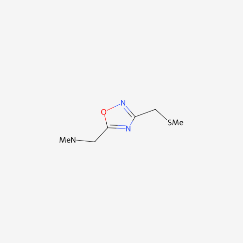 CNCc1nc(CSC)no1